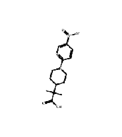 CC(C)(C(=O)O)C1CCN(c2ccc([N+](=O)[O-])cn2)CC1